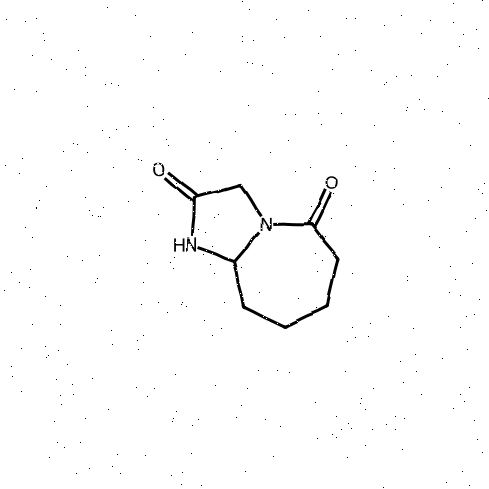 O=C1CN2C(=O)CCCCC2N1